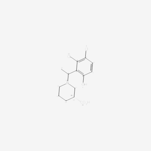 CC(c1c(O)ccc(Cl)c1Cl)N1CCC[C@@H](C(=O)O)C1